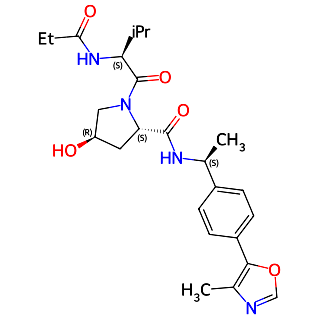 CCC(=O)N[C@H](C(=O)N1C[C@H](O)C[C@H]1C(=O)N[C@@H](C)c1ccc(-c2ocnc2C)cc1)C(C)C